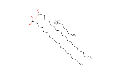 CCCCCC.CCCCCCCCCCCCCCCCCC(=O)[O-].CCCCCCCCCCCCCCCCCC(=O)[O-].[Ca+2]